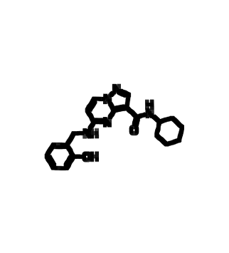 O=C(NC1CCCCC1)c1cnn2ccc(NCc3ccccc3O)nc12